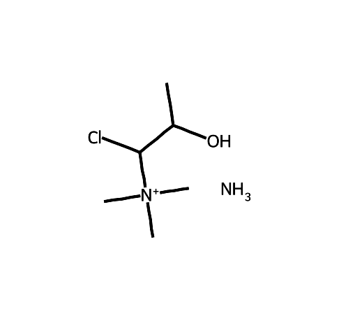 CC(O)C(Cl)[N+](C)(C)C.N